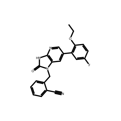 CCOc1ccc(F)cc1-c1cnc2[nH]c(=O)n(Cc3ccccc3C#N)c2c1